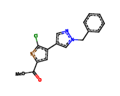 COC(=O)c1cc(-c2cnn(Cc3ccccc3)c2)c(Cl)s1